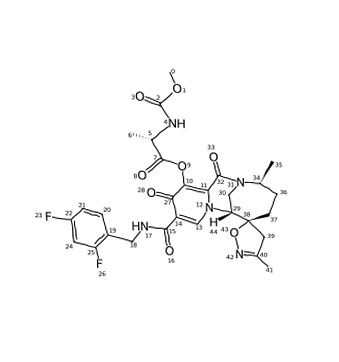 COC(=O)N[C@@H](C)C(=O)Oc1c2n(cc(C(=O)NCc3ccc(F)cc3F)c1=O)[C@@H]1CN(C2=O)[C@@H](C)CC[C@]12CC(C)=NO2